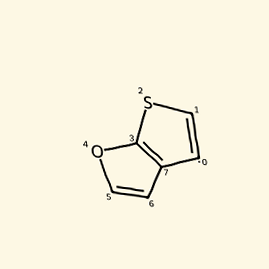 [c]1csc2occc12